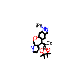 CC/C(B1OC(C)(C)C(C)(C)O1)=C1\c2cc3cnn(C(C)C)c3cc2OCc2ncccc21